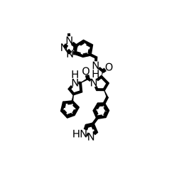 Cn1nnc2cc(CNC(=O)[C@@H]3C[C@@H](Cc4ccc(-c5cn[nH]c5)cc4)CN3C(=O)[C@H]3C[C@@H](c4ccccc4)CN3)ccc21